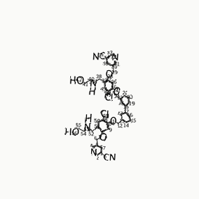 N#Cc1cncc(COc2cc(OCc3cccc(-c4cccc(COc5cc(OCc6cncc(C#N)c6)c(CNCCO)cc5Cl)c4)c3)c(Cl)cc2CNCCO)c1